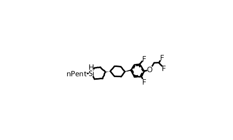 CCCCC[SiH]1CCC([C@H]2CC[C@H](c3cc(F)c(OCC(F)F)c(F)c3)CC2)CC1